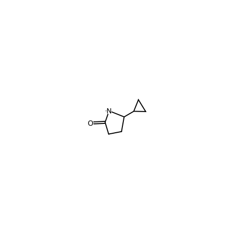 O=C1CCC(C2CC2)[N]1